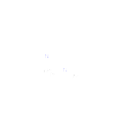 CCCN1CCCCC1CN(C(C)=O)C(C)C